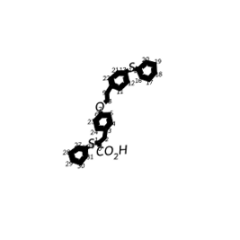 O=C(O)C(Cc1ccc(OCCc2ccc(Sc3ccccc3)cc2)cc1)Sc1ccccc1